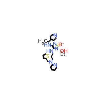 CC(Nc1n[s+]([O-])nc1NCCCN(Cc1cccs1)c1ccccn1)c1ccncc1.CCO